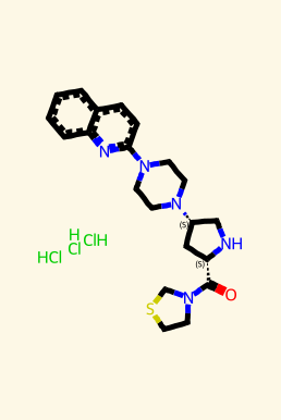 Cl.Cl.Cl.O=C([C@@H]1C[C@H](N2CCN(c3ccc4ccccc4n3)CC2)CN1)N1CCSC1